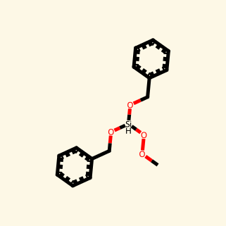 COO[SiH](OCc1ccccc1)OCc1ccccc1